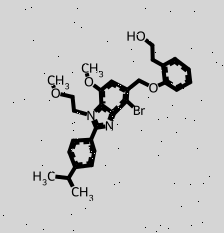 COCCn1c(-c2ccc(C(C)C)cc2)nc2c(Br)c(COc3ccccc3CCO)cc(OC)c21